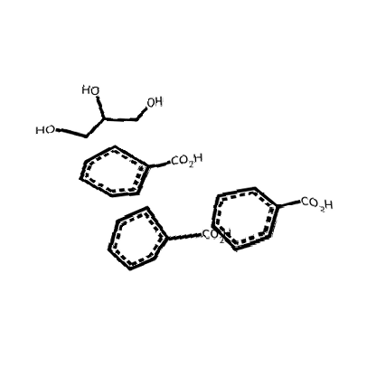 O=C(O)c1ccccc1.O=C(O)c1ccccc1.O=C(O)c1ccccc1.OCC(O)CO